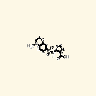 CN1CCOc2cc(S(=O)(=O)Nc3scnc3C(=O)O)ccc21